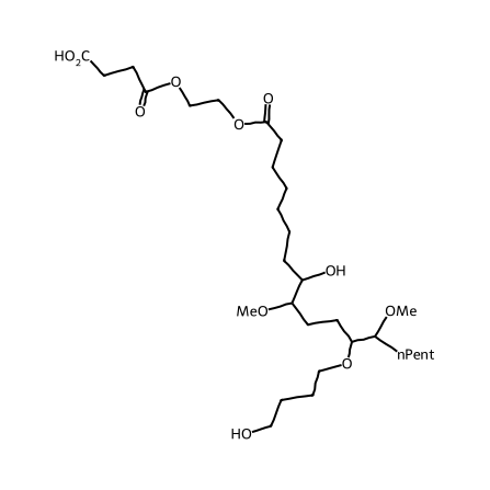 CCCCCC(OC)C(CCC(OC)C(O)CCCCCCC(=O)OCCOC(=O)CCC(=O)O)OCCCCO